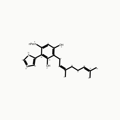 CCCCCc1cc(O)c(CC=C(C)CCC=C(C)C)c(O)c1-c1cncs1